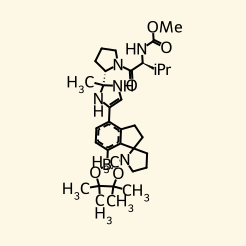 COC(=O)N[C@H](C(=O)N1CCC[C@H]1C1(C)NC=C(c2ccc(B3OC(C)(C)C(C)(C)O3)c3c2CCC32CCCN2C)N1)C(C)C